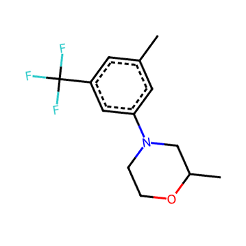 Cc1cc(N2CCOC(C)C2)cc(C(F)(F)F)c1